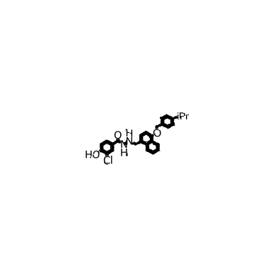 CC(C)c1ccc(COc2ccc(CNNC(=O)c3ccc(O)c(Cl)c3)c3ccccc23)cc1